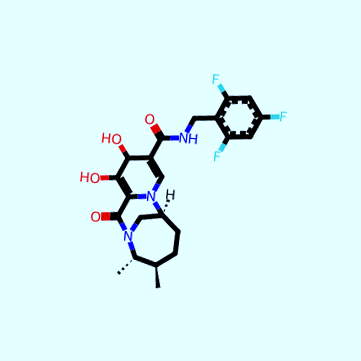 C[C@@H]1CC[C@H]2CN(C(=O)C3=C(O)C(O)C(C(=O)NCc4c(F)cc(F)cc4F)=CN32)[C@H]1C